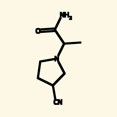 CC(C(N)=O)N1CCC(C#N)C1